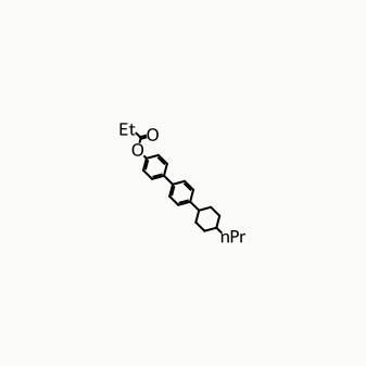 CCCC1CCC(c2ccc(-c3ccc(OC(=O)CC)cc3)cc2)CC1